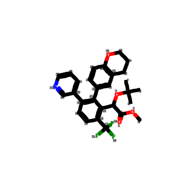 COC(=O)C(OC(C)(C)C)c1c(C(F)(F)F)ccc(-c2cccnc2)c1-c1ccc2c(c1)CCCO2